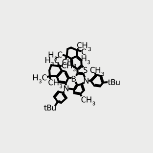 Cc1cc2c3c(c1)N(c1ccc(C(C)(C)C)cc1C)c1sc4cc5c(cc4c1B3c1cc3c(cc1N2c1ccc(C(C)(C)C)cc1)C(C)(C)CCC3(C)C)C(C)(C)CCC5(C)C